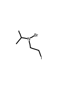 CC(C)N(Br)CCI